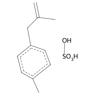 C=C(C)Cc1ccc(C)cc1.O=S(=O)(O)O